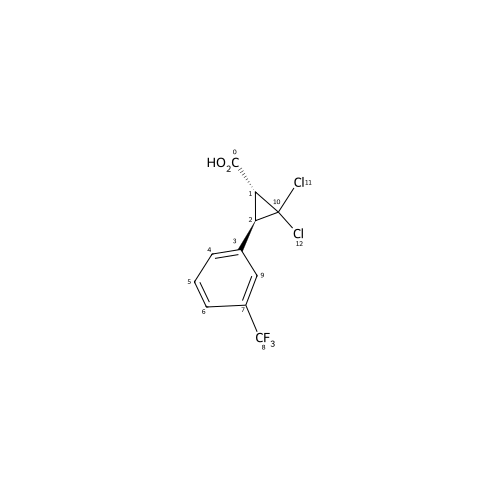 O=C(O)[C@H]1[C@H](c2cccc(C(F)(F)F)c2)C1(Cl)Cl